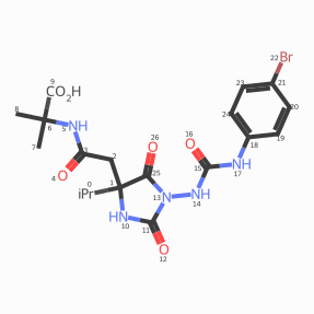 CC(C)C1(CC(=O)NC(C)(C)C(=O)O)NC(=O)N(NC(=O)Nc2ccc(Br)cc2)C1=O